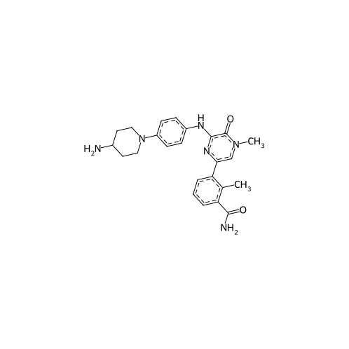 Cc1c(C(N)=O)cccc1-c1cn(C)c(=O)c(Nc2ccc(N3CCC(N)CC3)cc2)n1